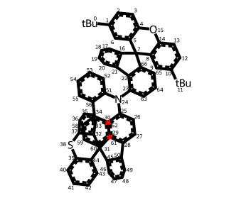 CC(C)(C)c1ccc2c(c1)C1(c3cc(C(C)(C)C)ccc3O2)c2ccccc2-c2c(N(c3ccc4c(c3)C3(c5ccccc5Sc5ccccc53)c3ccccc3-4)c3ccccc3-c3ccccc3)cccc21